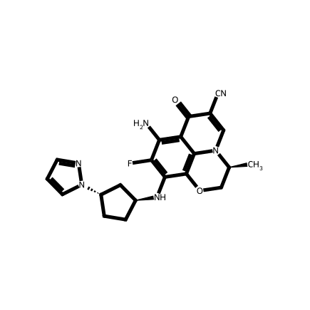 C[C@H]1COc2c(N[C@H]3CC[C@H](n4cccn4)C3)c(F)c(N)c3c(=O)c(C#N)cn1c23